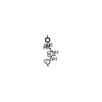 Cc1ccc(S(=O)(=O)NCC(=O)NC(C)C(=O)NC(C=O)CC(C)C)cc1